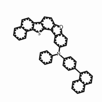 c1ccc(N(c2ccc(-c3cccc4ccccc34)cc2)c2ccc3oc4ccc5c6ccc7ccccc7c6sc5c4c3c2)cc1